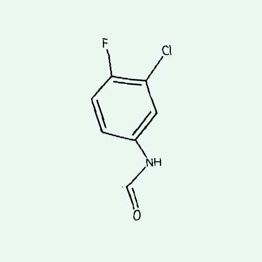 O=[C]Nc1ccc(F)c(Cl)c1